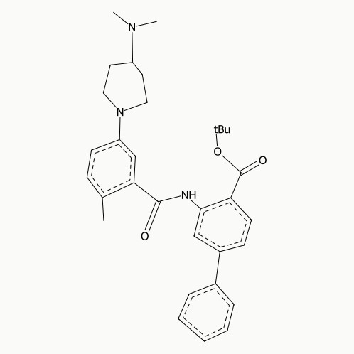 Cc1ccc(N2CCC(N(C)C)CC2)cc1C(=O)Nc1cc(-c2ccccc2)ccc1C(=O)OC(C)(C)C